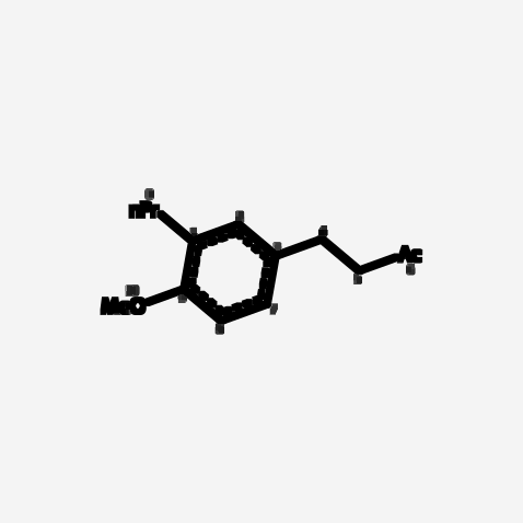 CCCc1cc(CCC(C)=O)ccc1OC